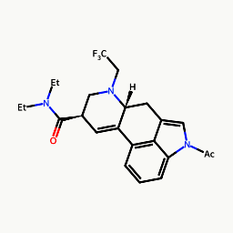 CCN(CC)C(=O)[C@@H]1C=C2c3cccc4c3c(cn4C(C)=O)C[C@H]2N(CC(F)(F)F)C1